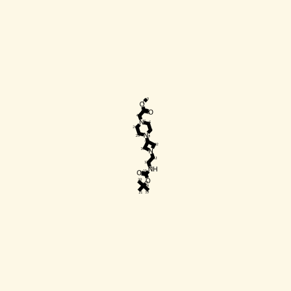 COC(=O)CN1CCN(C2CN(CCNC(=O)OC(C)(C)C)C2)CC1